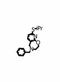 CC(C)Sc1ccc2c(n1)OCCN(Cc1ccccc1)C2